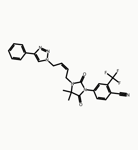 CC1(C)C(=O)N(c2ccc(C#N)c(C(F)(F)F)c2)C(=O)N1C/C=C\Cn1cc(-c2ccccc2)nn1